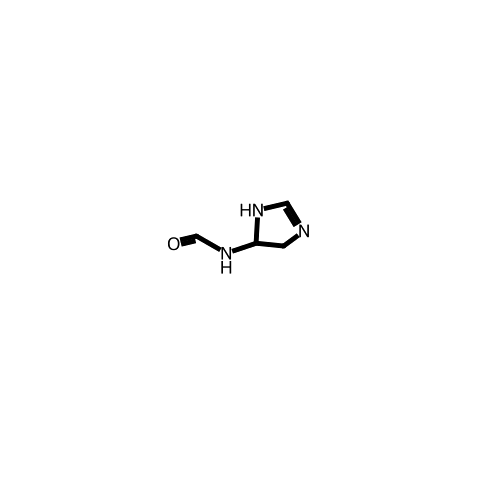 O=CNC1CN=CN1